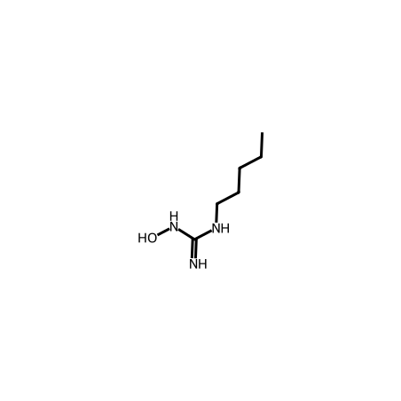 CCCCCNC(=N)NO